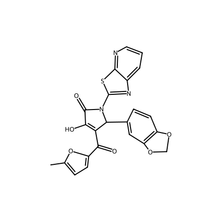 Cc1ccc(C(=O)C2=C(O)C(=O)N(c3nc4cccnc4s3)C2c2ccc3c(c2)OCO3)o1